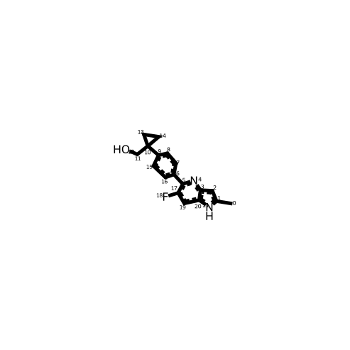 Cc1cc2nc(-c3ccc(C4(CO)CC4)cc3)c(F)cc2[nH]1